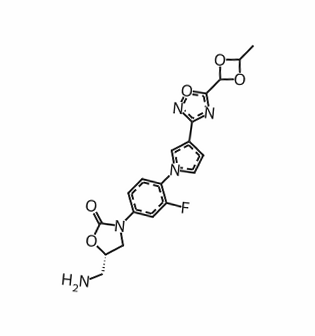 CC1OC(c2nc(-c3ccn(-c4ccc(N5C[C@H](CN)OC5=O)cc4F)c3)no2)O1